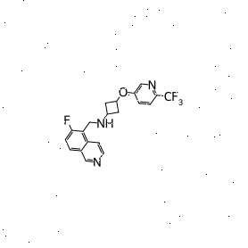 Fc1ccc2cnccc2c1CNC1CC(Oc2ccc(C(F)(F)F)nc2)C1